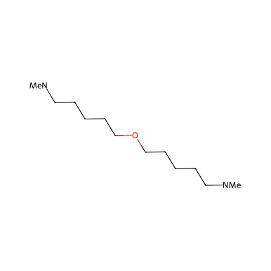 CNCCCCCOCCCCCNC